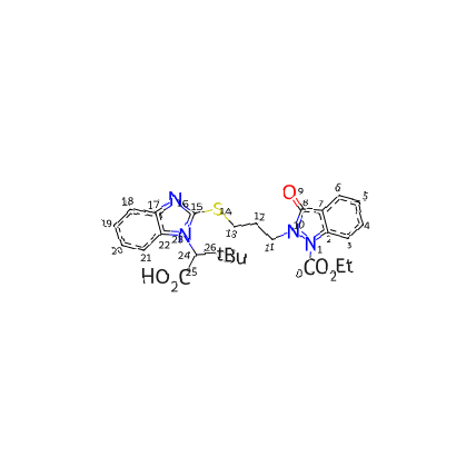 CCOC(=O)n1c2ccccc2c(=O)n1CCCSc1nc2ccccc2n1C(C(=O)O)C(C)(C)C